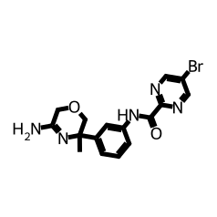 CC1(c2cccc(NC(=O)c3ncc(Br)cn3)c2)COCC(N)=N1